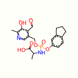 Cc1ncc(COP(=O)(NC(C)C(=O)O)Oc2ccc3c(c2)CCC3)c(C=O)c1O